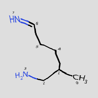 CC(CN)CCC=N